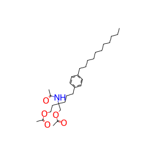 CCCCCCCCCCCc1ccc(CCCC(CCOC(C)=O)(COC(C)=O)NC(C)=O)cc1